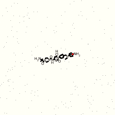 CCN(Cc1ccc(-n2ccc(NC(=O)N3CCN(C(=O)C(C)(C)N)CC3)nc2=O)cc1)C12CCC(N)(CC1)CC2.Cl